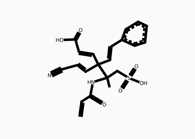 C=CC(=O)NC(C)(CS(=O)(=O)O)C(C=CC#N)(C=CC(=O)O)C=Cc1ccccc1